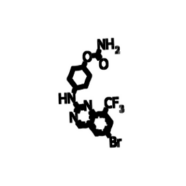 NC(=O)OC1CCC(Nc2ncc3cc(Br)cc(C(F)(F)F)c3n2)CC1